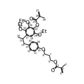 C=C(C)C(=O)OCCCOc1ccc(CC(C)c2cc(OCC)c(OC(=O)C(=C)C)c(OCC)c2OCC)cc1